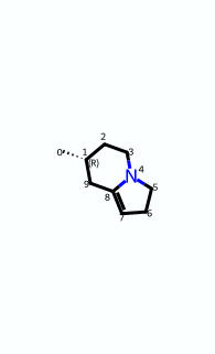 C[C@@H]1CCN2CCC=C2C1